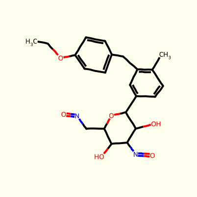 CCOc1ccc(Cc2cc(C3OC(CN=O)C(O)C(N=O)C3O)ccc2C)cc1